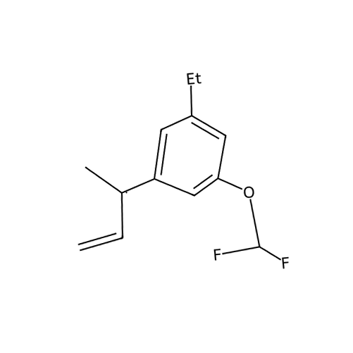 C=C[C](C)c1cc(CC)cc(OC(F)F)c1